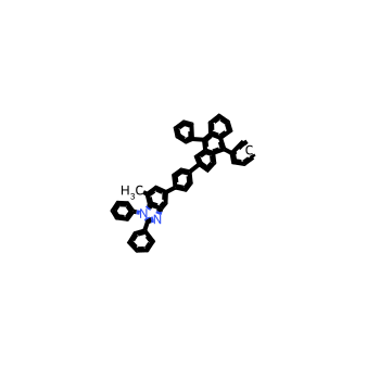 Cc1cc(-c2ccc(-c3ccc4c(-c5ccccc5)c5ccccc5c(-c5ccccc5)c4c3)cc2)cc2nc(-c3ccccc3)n(-c3ccccc3)c12